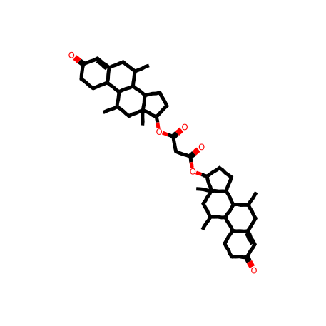 CC1CC2(C)C(OC(=O)CC(=O)OC3CCC4C5C(C)CC6=CC(=O)CCC6C5C(C)CC34C)CCC2C2C(C)CC3=CC(=O)CCC3C12